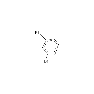 [CH2]Cc1cccc(Br)c1